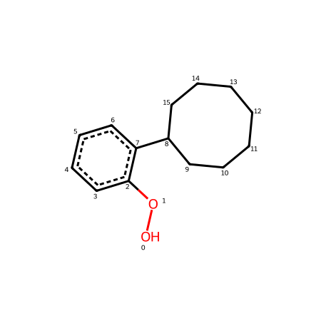 OOc1ccccc1C1CCCCCCC1